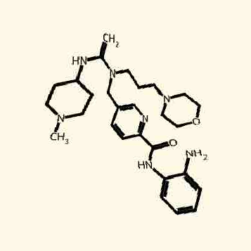 C=C(NC1CCN(C)CC1)N(CCCN1CCOCC1)Cc1ccc(C(=O)Nc2ccccc2N)nc1